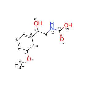 COc1cccc(C(O)CNC(=O)O)c1